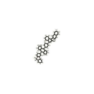 CC1(C)c2ccccc2-c2cc(-c3c4ccccc4c(-c4ccc(-c5cc6oc7cc8ccccc8cc7c6c6ccccc56)cc4)c4ccccc34)ccc21